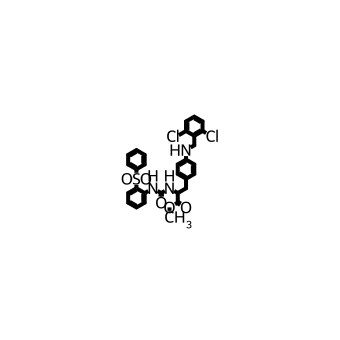 COC(=O)C(Cc1ccc(NCc2c(Cl)cccc2Cl)cc1)NC(=O)Nc1ccccc1S(=O)(=O)c1ccccc1